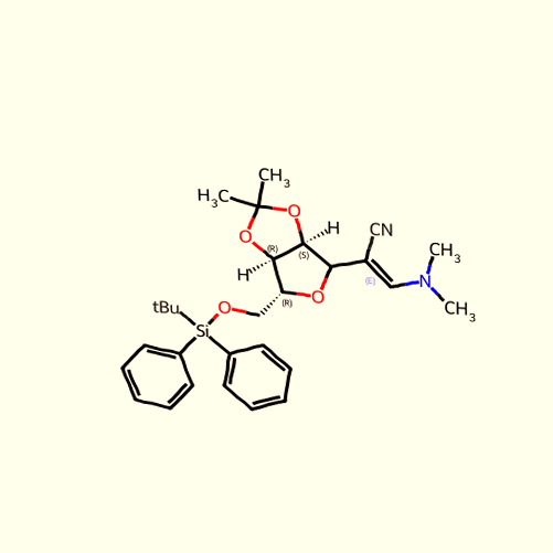 CN(C)/C=C(\C#N)C1O[C@H](CO[Si](c2ccccc2)(c2ccccc2)C(C)(C)C)[C@H]2OC(C)(C)O[C@@H]12